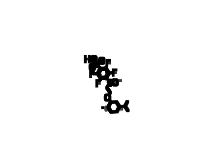 CC(C)[C@H]1CC[C@H](C)C(OCC[S+]([O-])c2c(F)c(F)c(S(=O)(=O)O)c(F)c2F)C1